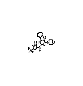 FC(F)(F)c1cc(Nc2nc(N3CCOCC3)c3oc4ncccc4c3n2)[nH]n1